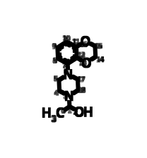 CC(O)N1CCN(c2cccc3c2OCCO3)CC1